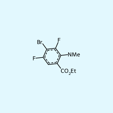 CCOC(=O)c1cc(F)c(Br)c(F)c1NC